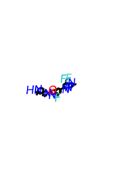 Cc1cn2nc(-c3cc(F)c4nc(N5CCC6(CCNC(C)(C)C6)C5)oc4c3)cc(C(F)F)c2n1